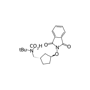 CC(C)(C)N(C[C@H]1CC[C@H](ON2C(=O)c3ccccc3C2=O)C1)C(=O)O